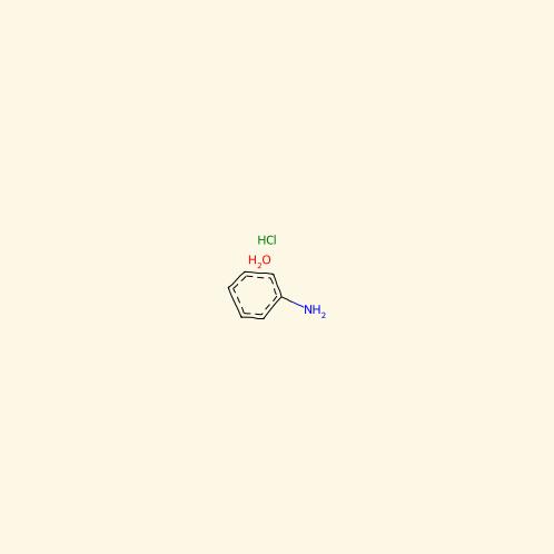 Cl.Nc1ccccc1.O